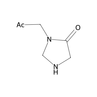 CC(=O)CN1CNCC1=O